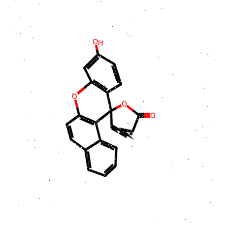 O=C1OC2(c3ccc(O)cc3Oc3ccc4ccccc4c32)c2ccccc21